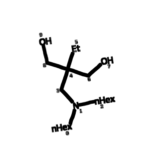 CCCCCCN(CCCCCC)CC(CC)(CO)CO